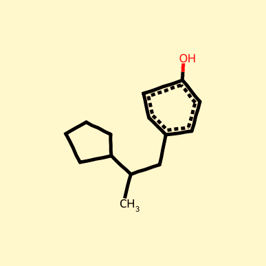 CC(Cc1ccc(O)cc1)C1CCCC1